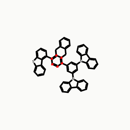 c1ccc2c(c1)C1c3ccccc3C2c2c(-c3cccc4sc5ccccc5c34)ccc(-c3cc(-n4c5ccccc5c5ccccc54)cc(-n4c5ccccc5c5ccccc54)c3)c21